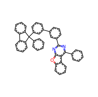 c1ccc(-c2nc(-c3cccc(-c4cccc(C5(c6ccccc6)c6ccccc6-c6ccccc65)c4)c3)nc3oc4ccccc4c23)cc1